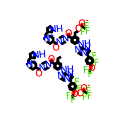 CCc1cc(Nc2nccn3c(-c4ccc(OC(F)F)c(F)c4F)cnc23)ccc1C(=O)N1CCN(C(=O)C2CC[N+](C)(CC3CCNC3)CC2)CC1.CCc1cc(Nc2nccn3c(-c4ccc(OC(F)F)c(F)c4F)cnc23)ccc1C(=O)N1CCN(C(=O)C2CC[N+](C)(CC3CCNC3)CC2)CC1.O=C([O-])C(F)(F)F.O=C([O-])C(F)(F)F